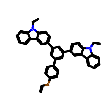 C=CSc1ccc(-c2cc(-c3ccc4c(c3)c3ccccc3n4CC)cc(-c3ccc4c(c3)c3ccccc3n4CC)c2)cc1